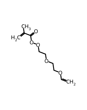 C=COCCOCCOOC(=O)C(=C)C